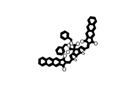 O=C1C(=Cc2cc3c(s2)-c2sc(C=C4C(=O)c5cc6cc7ccccc7cc6cc5C4=O)cc2C3(C(=O)OCc2ccccc2)C(=O)OCc2ccccc2)C(=O)c2cc3cc4ccccc4cc3cc21